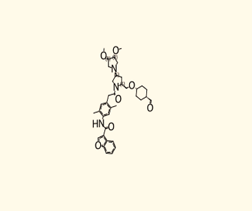 CO[C@@H]1CN([C@H]2C[C@@H](CO[C@H]3CC[C@H](C=O)CC3)N(C(=O)Cc3cc(C)c(NC(=O)c4coc5ccccc45)cc3C)C2)C[C@H]1OC